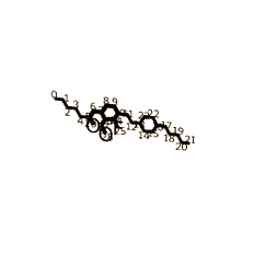 CCCCCc1cc2ccc(CCC3CCC(CCCCC)CC3)c(F)c2c(=O)o1